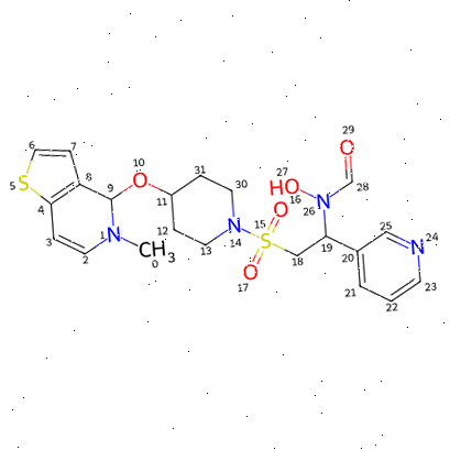 CN1C=Cc2sccc2C1OC1CCN(S(=O)(=O)CC(c2cccnc2)N(O)C=O)CC1